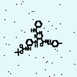 Cc1ccc(CNC(=O)c2cnc(Nc3ccccc3)nc2Nc2cccc(NC(=O)OC(C)(C)C)c2)cc1